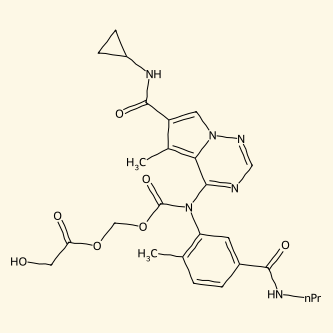 CCCNC(=O)c1ccc(C)c(N(C(=O)OCOC(=O)CO)c2ncnn3cc(C(=O)NC4CC4)c(C)c23)c1